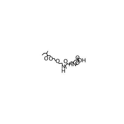 CCC(C)C(=O)COCCOCCNC(C)C(=O)CCC(CS(=O)(=O)O)NC